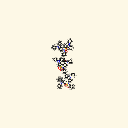 O=S1(=O)c2cc3c(cc2-c2c(ccc4c2c2ccc(-c5ccc(N6c7ccc8c(c7-c7c(ccc9c7c7ccccc7n9-c7ccccc7)S6(=O)=O)c6ccc(-c7ccc(N9c%10ccc%11c(c%10-c%10ccc%12c(c%10S9(=O)=O)c9ccccc9n%12-c9ccccc9)c9ccccc9n%11-c9ccccc9)cc7)cc6n8-c6ccccc6)cc5)cc2n4-c2ccccc2)N1c1ccccc1)c1ccccc1n3-c1ccccc1